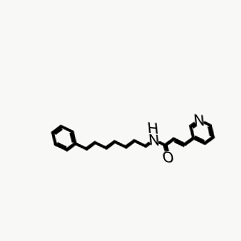 O=C(C=Cc1cccnc1)NCCCCCCCc1ccccc1